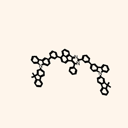 CC1(C)c2ccccc2-c2ccc(-n3c4ccccc4c4cc(-c5cccc(-c6nc(-c7ccccc7)c7c(n6)-c6cccc8c(-c9cccc(-c%10ccc%11c(c%10)c%10ccccc%10n%11-c%10ccc%11c(c%10)C(C)(C)c%10ccccc%10-%11)c9)ccc-7c68)c5)ccc43)cc21